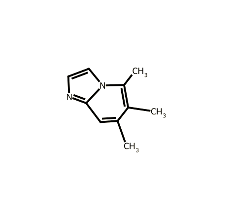 Cc1cc2nccn2c(C)c1C